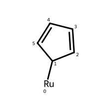 [Ru][CH]1C=CC=C1